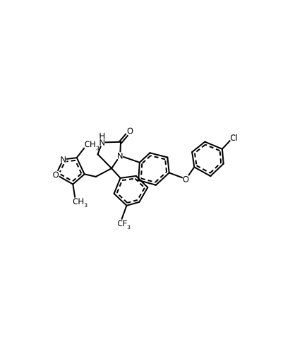 Cc1noc(C)c1CC1(c2cccc(C(F)(F)F)c2)CNC(=O)N1c1ccc(Oc2ccc(Cl)cc2)cc1